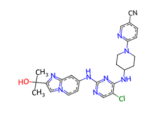 CC(C)(O)c1cn2ccc(Nc3ncc(Cl)c(NC4CCN(c5ccc(C#N)cn5)CC4)n3)cc2n1